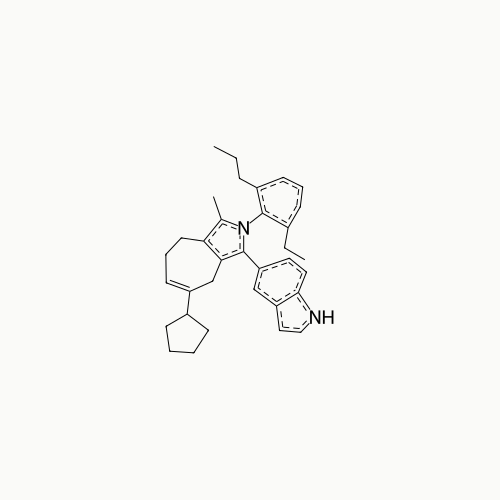 CCCc1cccc(CC)c1-n1c(C)c2c(c1-c1ccc3[nH]ccc3c1)CC(C1CCCC1)=CCC2